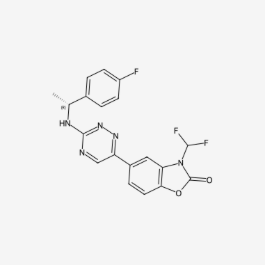 C[C@@H](Nc1ncc(-c2ccc3oc(=O)n(C(F)F)c3c2)nn1)c1ccc(F)cc1